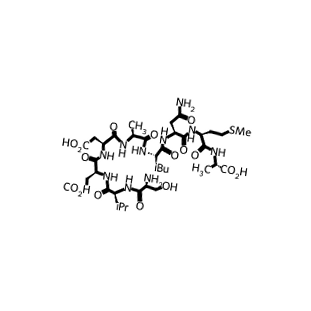 CC[C@H](C)[C@H](NC(=O)[C@H](C)NC(=O)[C@H](CC(=O)O)NC(=O)[C@H](CC(=O)O)NC(=O)[C@@H](NC(=O)[C@@H](N)CO)C(C)C)C(=O)N[C@@H](CC(N)=O)C(=O)N[C@@H](CCSC)C(=O)N[C@@H](C)C(=O)O